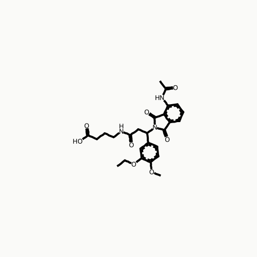 CCOc1cc(C(CC(=O)NCCCC(=O)O)N2C(=O)c3cccc(NC(C)=O)c3C2=O)ccc1OC